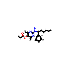 CCCCCC(Nc1nc(C)c(OC(=O)CC)c(C)n1)c1ccccc1